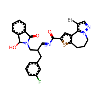 CCc1cnn2c1-c1cc(C(=O)/N=C/C(Cc3cccc(F)c3)CN3C(=O)c4ccccc4C3O)sc1CCC2